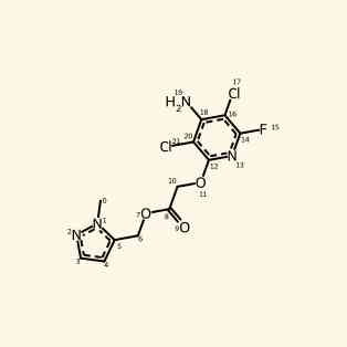 Cn1nccc1COC(=O)COc1nc(F)c(Cl)c(N)c1Cl